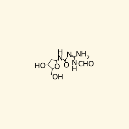 N/C(=N/C(=O)N[C@H]1C[C@@H](O)C(CO)O1)NC=O